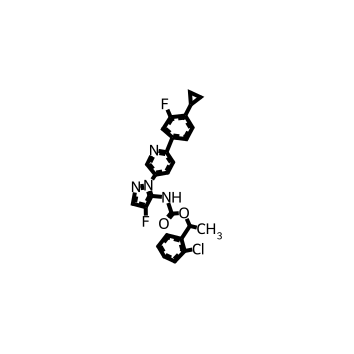 CC(OC(=O)Nc1c(F)cnn1-c1ccc(-c2ccc(C3CC3)c(F)c2)nc1)c1ccccc1Cl